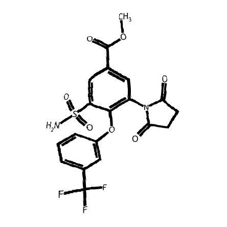 COC(=O)c1cc(N2C(=O)CCC2=O)c(Oc2cccc(C(F)(F)F)c2)c(S(N)(=O)=O)c1